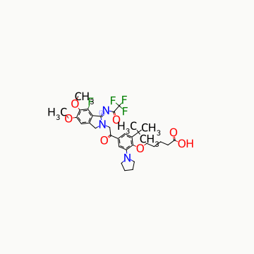 COc1cc2c(c(F)c1OC)/C(=N/C(=O)C(F)(F)F)N(CC(=O)c1cc(N3CCCC3)c(OCCCCC(=O)O)c(C(C)(C)C)c1)C2